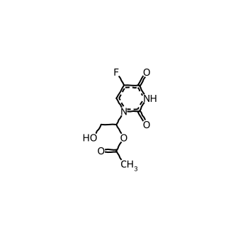 CC(=O)OC(CO)n1cc(F)c(=O)[nH]c1=O